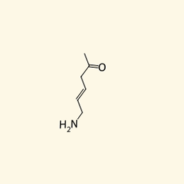 CC(=O)CC=CCN